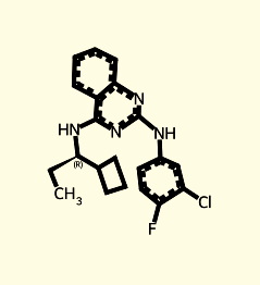 CC[C@@H](Nc1nc(Nc2ccc(F)c(Cl)c2)nc2ccccc12)C1CCC1